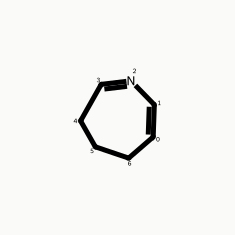 [C]1=CN=CCCC1